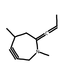 CC=C=C1CC(C)C#CCN1C